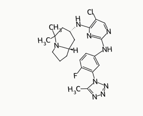 Cc1nnnn1-c1cc(Nc2ncc(Cl)c(N[C@@H]3C[C@@H]4CCCN4C(C)(C)C3)n2)ccc1F